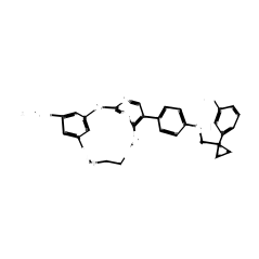 CC(=O)Nc1cc2cc(c1)SNCCCNc1nc(ncc1-c1ccc(NC(=O)C3(c4cccc(C(F)(F)F)c4)CC3)cc1)N2